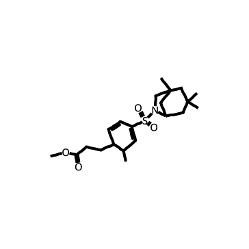 COC(=O)CCC1C=CC(S(=O)(=O)N2CC3(C)CC2CC(C)(C)C3)=CC1C